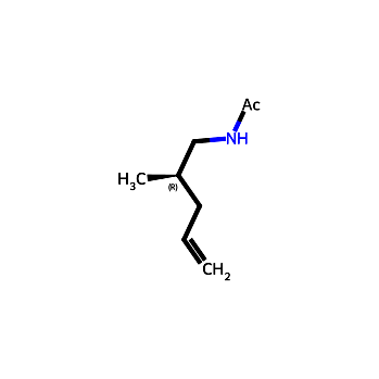 C=CC[C@@H](C)CNC(C)=O